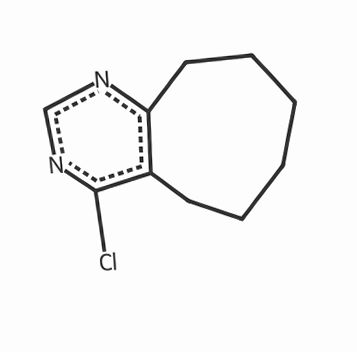 Clc1ncnc2c1CCCCCC2